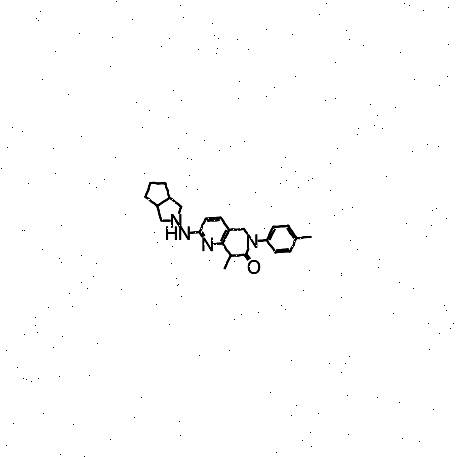 Cc1ccc(N2Cc3ccc(NN4CC5CCCC5C4)nc3C(C)C2=O)cc1